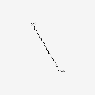 COCCOCCCCCCCCCCCCCCCCCCCO[C]=O